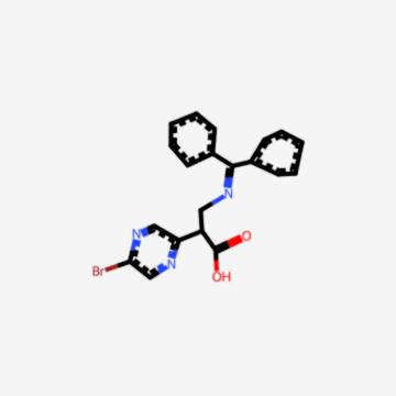 O=C(O)C(CN=C(c1ccccc1)c1ccccc1)c1cnc(Br)cn1